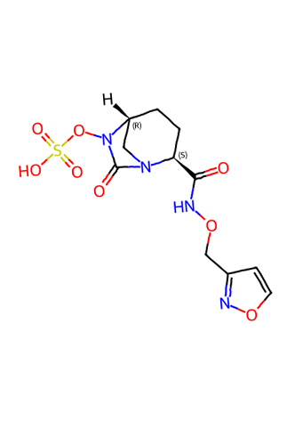 O=C(NOCc1ccon1)[C@@H]1CC[C@@H]2CN1C(=O)N2OS(=O)(=O)O